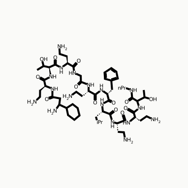 CCCNC(=O)C(NC(=O)[C@H](CCN)NC(=O)[C@H](CCN)NC(=O)[C@H](CC(C)C)NC(=O)[C@@H](Cc1ccccc1)NC(=O)[C@H](CCN)NC(=O)CNC(=O)[C@H](CCN)NC(=O)[C@@H](NC(=O)[C@H](CCN)NC(=O)CC(N)C1CCCCC1)C(C)O)C(C)O